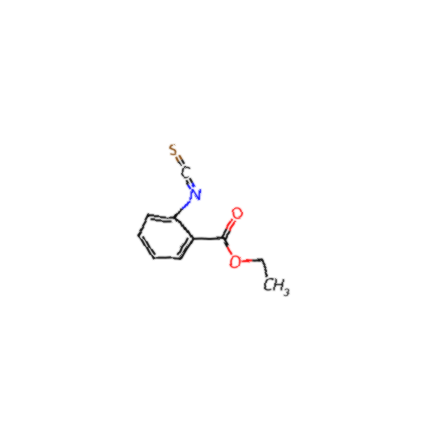 CCOC(=O)c1ccccc1N=C=S